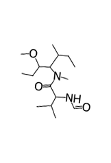 CCC(C)C(C(CC)OC)N(C)C(=O)C(NC=O)C(C)C